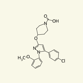 COc1ccccc1-n1nc(OC2CCN(C(=O)O)CC2)cc1-c1ccc(Cl)cc1